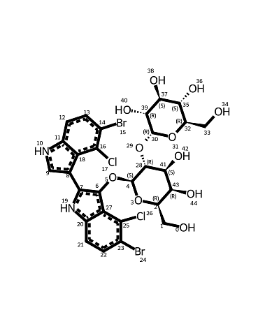 OC[C@H]1O[C@@H](Oc2c(-c3c[nH]c4ccc(Br)c(Cl)c34)[nH]c3ccc(Br)c(Cl)c23)[C@H](O[C@H]2O[C@H](CO)[C@@H](O)[C@H](O)[C@H]2O)[C@@H](O)[C@H]1O